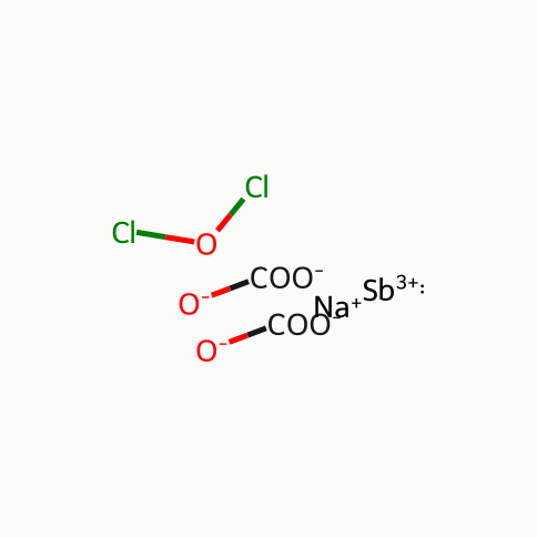 ClOCl.O=C([O-])[O-].O=C([O-])[O-].[Na+].[Sb+3]